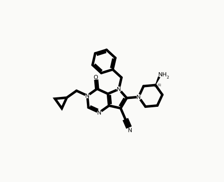 N#Cc1c(N2CCC[C@H](N)C2)n(Cc2ccccc2)c2c(=O)n(CC3CC3)cnc12